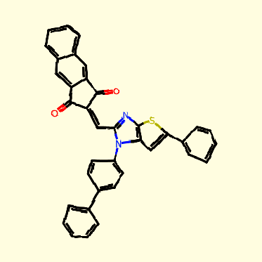 O=C1C(=Cc2nc3sc(-c4ccccc4)cc3n2-c2ccc(-c3ccccc3)cc2)C(=O)c2cc3ccccc3cc21